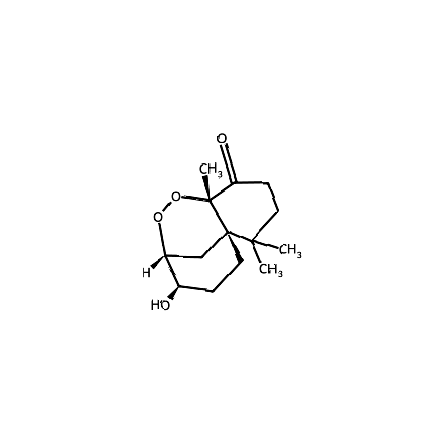 CC1(C)CCC(=O)[C@@]2(C)OO[C@@H]3C[C@@]12CC[C@H]3O